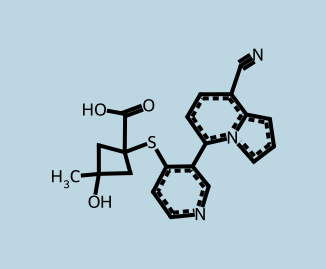 CC1(O)CC(Sc2ccncc2-c2ccc(C#N)c3cccn23)(C(=O)O)C1